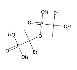 CCC(C)(OP(=O)(O)C(C)(O)CC)P(=O)(O)O